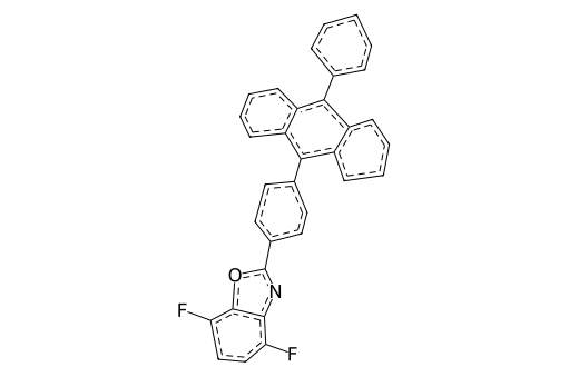 Fc1ccc(F)c2oc(-c3ccc(-c4c5ccccc5c(-c5ccccc5)c5ccccc45)cc3)nc12